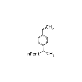 C=Cc1ccc(C(C)CCCCC)cc1